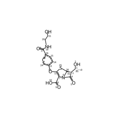 C[C@@H](O)[C@H]1C(=O)N2C(C(=O)O)=C(Oc3ccc(C(=O)NCCO)cc3)SC12